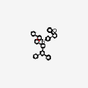 c1ccc(-c2ccc(N(c3ccc(-c4cccc5oc6ccccc6c45)cc3)c3ccc(-c4cc(-c5ccccc5)cc(-c5ccccc5)c4)cc3-c3ccccc3)cc2)cc1